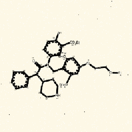 CCOCCOc1cc(OC)c(CN(C(=O)C(c2ccccc2)C2CCNCC2)c2ccc(C)c(C(=O)OCC)c2)c(OC)c1